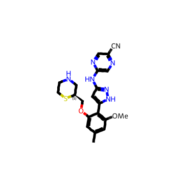 COc1cc(C)cc(OC[C@@H]2CNCCS2)c1-c1cc(Nc2cnc(C#N)cn2)n[nH]1